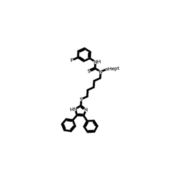 CCCCCCCN(CCCCCSc1nc(-c2ccccc2)c(-c2ccccc2)[nH]1)C(=S)Nc1cccc(F)c1